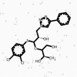 C[C@@H](O)C(CO)OC(Sc1ccc(Cl)c(Cl)c1)[C@@H](O)Cn1cc(-c2ccccc2)nn1